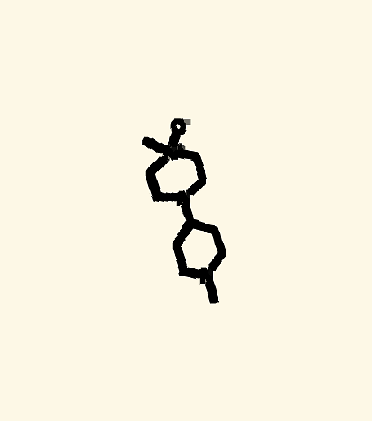 CN1CCC(N2CC[N+](C)([O-])CC2)CC1